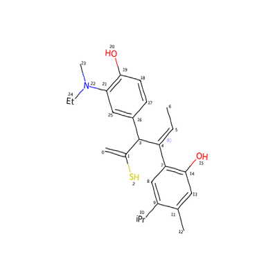 C=C(S)C(/C(=C\C)c1cc(C(C)C)c(C)cc1O)c1ccc(O)c(N(C)CC)c1